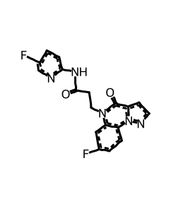 O=C(CCn1c(=O)c2ccnn2c2ccc(F)cc21)Nc1ccc(F)cn1